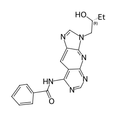 CC[C@@H](O)Cn1cnc2cc3c(NC(=O)c4ccccc4)ncnc3nc21